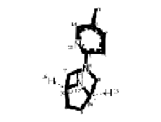 Cc1ccc(N2C[C@H]3CC[C@@H](C2)N3)nc1